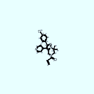 C=CC(=O)N1Cc2c(-c3ccncc3)c(-c3ccc(Cl)cc3)nn2C(C)(C)C1